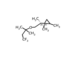 CC1C[C@@]1(C)[C@@H](C)COC(C)(C)CC(F)(F)F